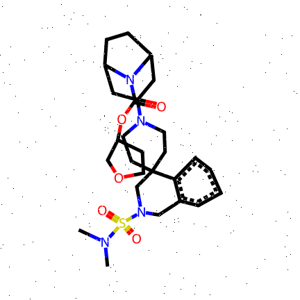 CN(C)S(=O)(=O)N1Cc2ccccc2C2(CCN(C3CC4CCC(C3)N4C(=O)OC3CCOC3)CC2)C1